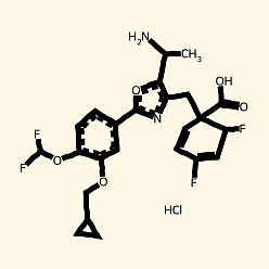 CC(N)c1oc(-c2ccc(OC(F)F)c(OCC3CC3)c2)nc1CC1(C(=O)O)C=CC(F)=CC1F.Cl